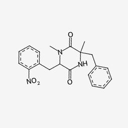 CN1C(=O)C(C)(Cc2ccccc2)NC(=O)C1Cc1ccccc1[N+](=O)[O-]